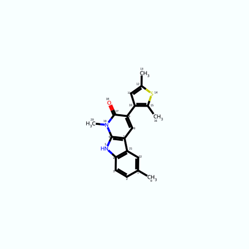 Cc1ccc2[nH]c3c(cc(-c4cc(C)sc4C)c(=O)n3C)c2c1